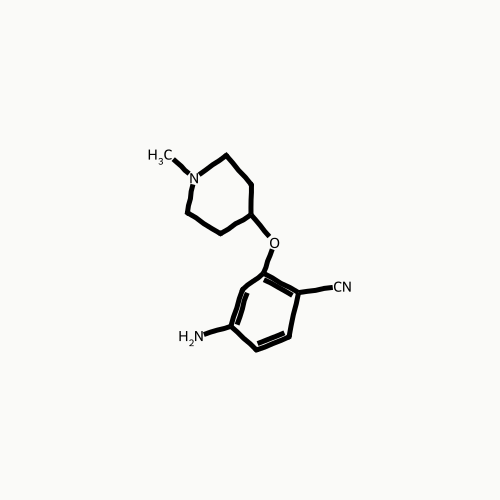 CN1CCC(Oc2cc(N)ccc2C#N)CC1